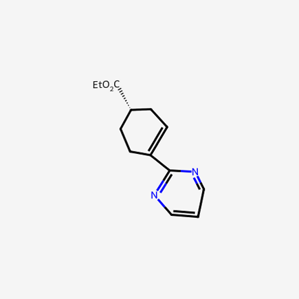 CCOC(=O)[C@@H]1CC=C(c2ncccn2)CC1